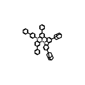 c1ccc(-c2ccc(N3c4ccc(-c5ccccc5)cc4B4c5c(cc(-c6ccccc6)cc53)-c3cc(C56CC7CC(CC(C7)C5)C6)cc5c6cc(C78CC9CC(CC(C9)C7)C8)ccc6n4c35)cc2)cc1